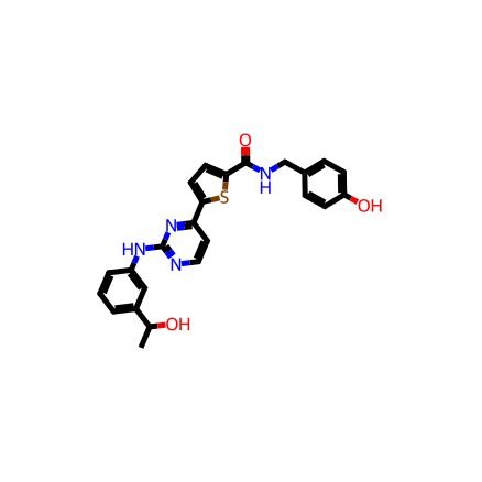 CC(O)c1cccc(Nc2nccc(-c3ccc(C(=O)NCc4ccc(O)cc4)s3)n2)c1